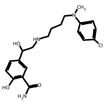 CN(CCCCNCC(O)c1ccc(O)c(C(N)=O)c1)c1ccc(Cl)cc1